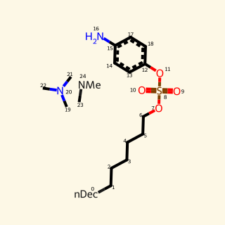 CCCCCCCCCCCCCCCCOS(=O)(=O)Oc1ccc(N)cc1.CN(C)C.CNC